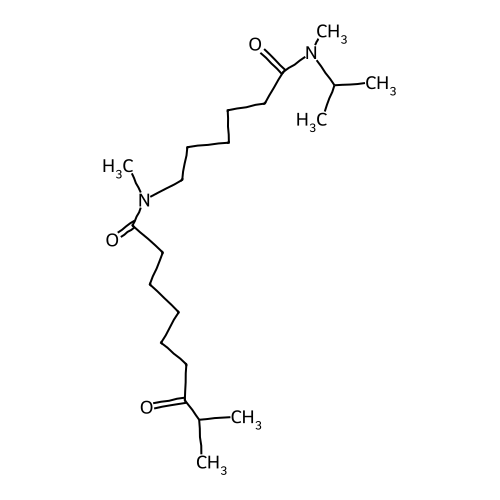 CC(C)C(=O)CCCCCC(=O)N(C)CCCCCC(=O)N(C)C(C)C